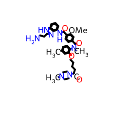 COc1cc(C(=O)N(C)c2ccc(C)cc2OCCCCC(=C=O)N2CCN(C)CC2)ccc1C(=O)Nc1cccc2[nH]c(CCN)nc12